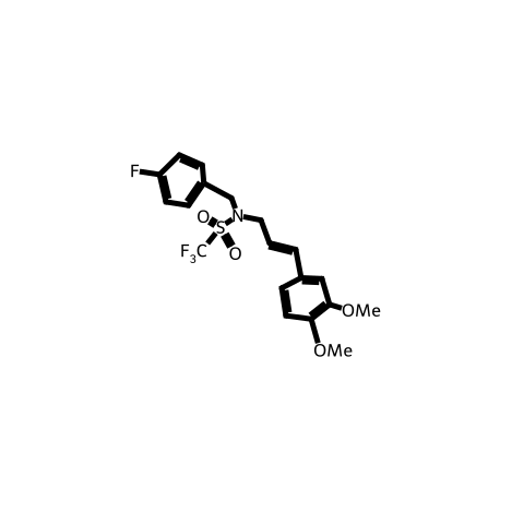 COc1ccc(/C=C/CN(Cc2ccc(F)cc2)S(=O)(=O)C(F)(F)F)cc1OC